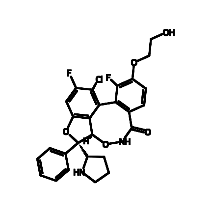 O=C1NO[C@H]2c3c(cc(F)c(Cl)c3-c3c1ccc(OCCO)c3F)O[C@@]2(c1ccccc1)C1CCCN1